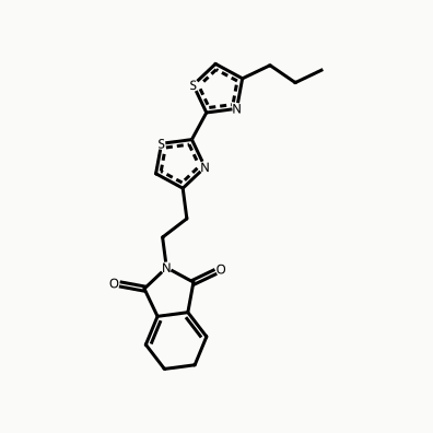 CCCc1csc(-c2nc(CCN3C(=O)C4=CCCC=C4C3=O)cs2)n1